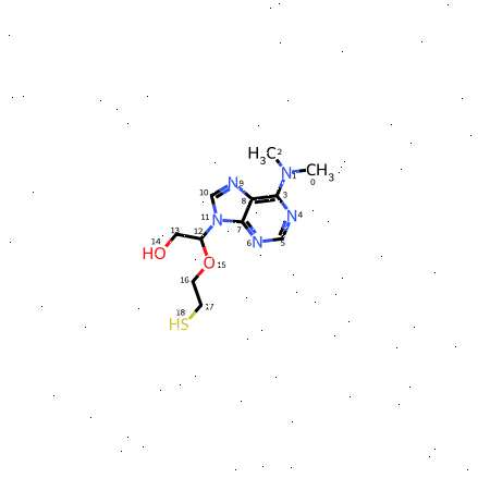 CN(C)c1ncnc2c1ncn2C(CO)OCCS